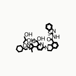 Cc1c(-c2ccc(N3CCc4cccc(C(=O)Nc5nc6ccccc6s5)c4C3)nc2C(=O)O)cnn1CC1(OCC(O)CO)CCCCC1